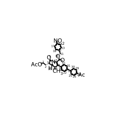 CC(=O)OCC[C@@H]1C(=O)N2C(C(=O)OCc3ccc([N+](=O)[O-])cc3)=C(c3ccc(-c4ccc(C(C)=O)cc4)cc3)[C@H](C)[C@H]12